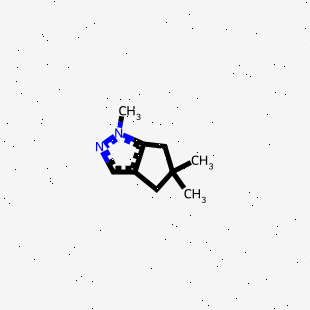 Cn1ncc2c1CC(C)(C)C2